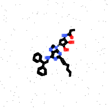 CCCCC#Cc1nc(NCC(c2ccccc2)c2ccccc2)c2ncn([C@@H]3C[C@H](NC(=O)CC)[C@@H](O)[C@H]3O)c2n1